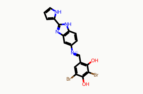 Oc1c(Br)cc(/C=N/c2ccc3[nH]c(-c4ccc[nH]4)nc3c2)c(O)c1Br